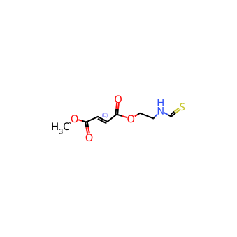 COC(=O)/C=C/C(=O)OCCNC=S